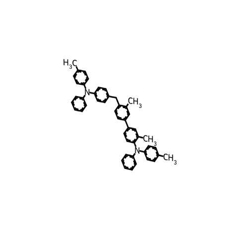 Cc1ccc(N(c2ccccc2)c2ccc(Cc3ccc(-c4ccc(N(c5ccccc5)c5ccc(C)cc5)c(C)c4)cc3C)cc2)cc1